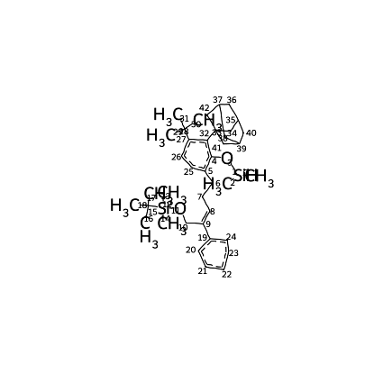 C[SiH](C)Oc1c(CCC=C(CO[Si](C)(C)C(C)(C)C)c2ccccc2)ccc(C(C)(C)C)c1C12CC3CC(CC(C3)C1)C2